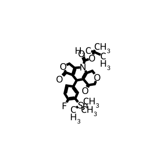 CC(C)(C)OC(=O)N1C2=C(C(=O)COC2)C(c2ccc(F)[c]([Sn]([CH3])([CH3])[CH3])c2)C2=C1COC2=O